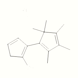 CC1=C(C)C(C)(C)C(C2=[C]([Zr+2])CC=C2)=C1C.[Cl-].[Cl-]